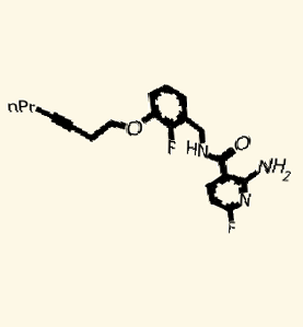 CCCC#CCCOc1cccc(CNC(=O)c2ccc(F)nc2N)c1F